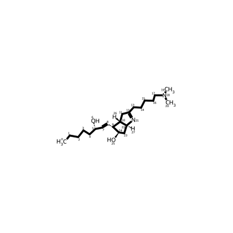 CCCCC[C@H](O)/C=C/[C@@H]1[C@@H]2CC(CCCCCN(C)C)=N[C@H]2C[C@H]1O